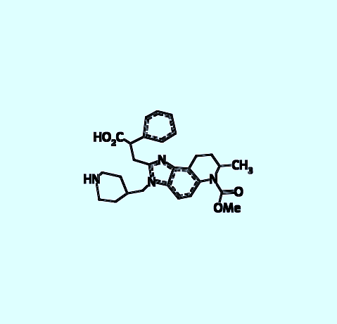 COC(=O)N1c2ccc3c(nc(CC(C(=O)O)c4ccccc4)n3CC3CCNCC3)c2CCC1C